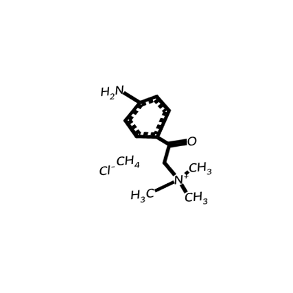 C.C[N+](C)(C)CC(=O)c1ccc(N)cc1.[Cl-]